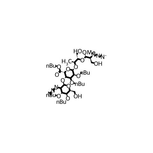 CCCCOC(=O)[C@@H]1O[C@@H](O[C@@H](C)[C@H](CO)O[C@H](OC)[C@H](CO)N=[N+]=[N-])[C@@H](OCCCC)C(OCCCC)[C@@H]1O[C@H]1O[C@@H](CO)[C@@H](OCCCC)[C@H](OCCCC)C1N=[N+]=[N-]